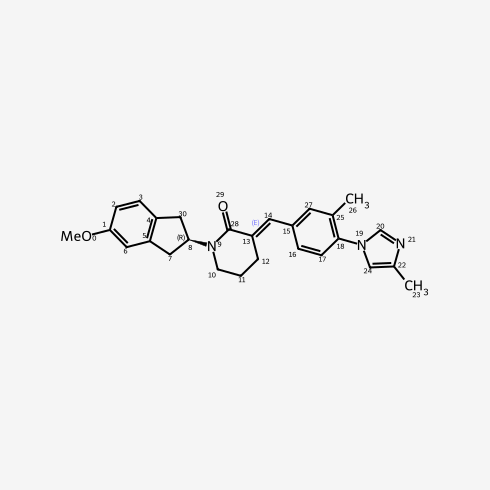 COc1ccc2c(c1)C[C@H](N1CCC/C(=C\c3ccc(-n4cnc(C)c4)c(C)c3)C1=O)C2